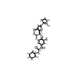 CC1CN=c2cc(-c3nccn3C)sc2=C1Oc1ccc(NC(=O)Cc2ccccc2)cc1F